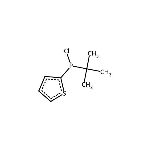 CC(C)(C)P(Cl)c1cccs1